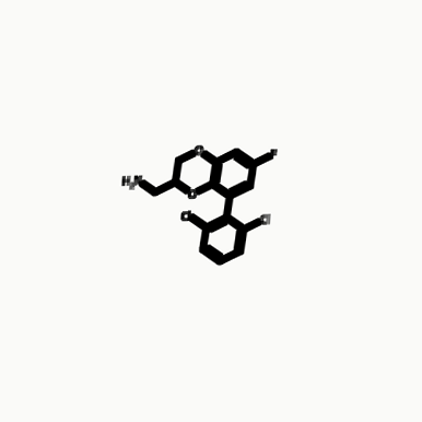 NCC1COc2cc(F)cc(-c3c(Cl)cccc3Cl)c2O1